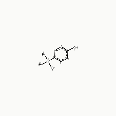 CC(C)[Si](c1ccc(O)cc1)(C(C)C)C(C)C